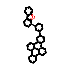 c1cc(-c2ccc3c(c2)c2cccc4c5ccccc5c5cccc3c5c42)cc(-c2cccc3c2oc2ccccc23)c1